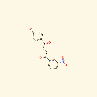 O=C(CCC(=O)c1cccc([N+](=O)[O-])c1)c1ccc(Br)cc1